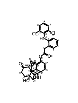 O=C(Cc1ccccc1Nc1c(Cl)cccc1Cl)OC1=C2OC3C(=O)CC[C@@]4(O)C5NCCC34C2C(C=C1)C5CC1CC1